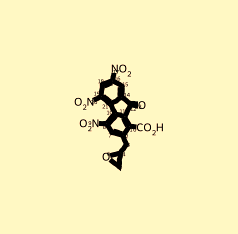 O=C(O)c1c(CC2CO2)cc([N+](=O)[O-])c2c1C(=O)c1cc([N+](=O)[O-])cc([N+](=O)[O-])c1-2